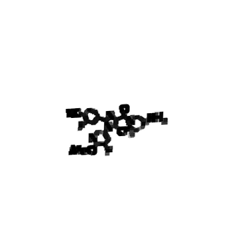 COc1ncc(-n2c(-c3ccc(C#N)c(F)c3)nc(C(=O)N3CCC[C@@H](N)C3)c2C(F)(F)F)cc1F